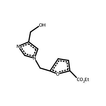 CCOC(=O)c1ccc(Cn2cnc(CO)c2)o1